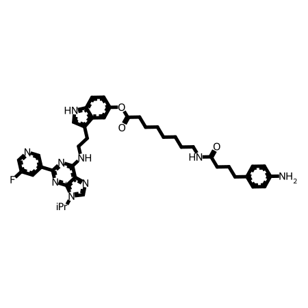 CC(C)n1cnc2c(NCCc3c[nH]c4ccc(OC(=O)CCCCCCCNC(=O)CCCc5ccc(N)cc5)cc34)nc(-c3cncc(F)c3)nc21